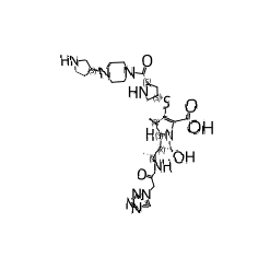 C[C@@H](NC(=O)Cn1cnnn1)[C@H]1C(O)N2C(C(=O)O)=C(S[C@@H]3CN[C@H](C(=O)N4CCN([C@H]5CCNC5)CC4)C3)[C@H](C)[C@H]12